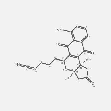 COc1cccc2c1C(=O)C1=C(C2=O)[C@H]2OC(=O)C[C@H]2O[C@H]1CCCN=[N+]=[N-]